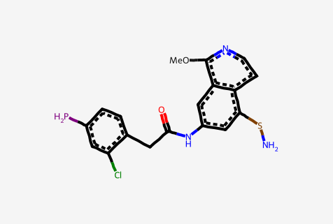 COc1nccc2c(SN)cc(NC(=O)Cc3ccc(P)cc3Cl)cc12